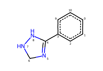 c1ccc(C2=NCNN2)cc1